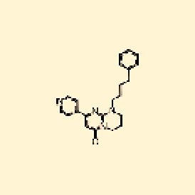 O=c1cc(-c2ccncc2)nc2n1CCCN2CCCCc1ccccc1